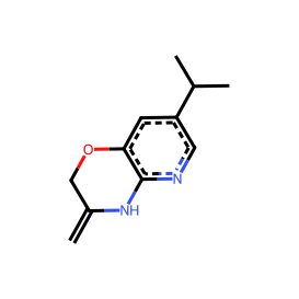 C=C1COc2cc(C(C)C)cnc2N1